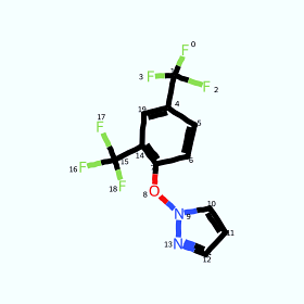 FC(F)(F)c1ccc(On2cc[c]n2)c(C(F)(F)F)c1